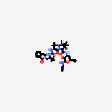 C#CCCC(NC(=O)[C@@H]1[C@@H]2[C@H](CN1C(=O)[C@@H](NC(=O)N[C@H](CN1Cc3ccccc3C1=O)C(C)(C)C)C(C)(C)C)C2(C)C)C(=O)C(=O)NCC=C